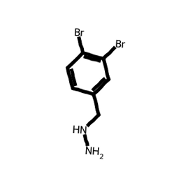 NNCc1ccc(Br)c(Br)c1